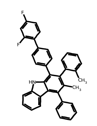 Cc1ccccc1-c1c(C)c(-c2ccccc2)c2c([nH]c3ccccc32)c1-c1ccc(-c2ccc(F)cc2F)cc1